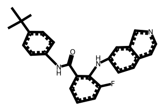 CC(C)(C)c1ccc(NC(=O)c2cccc(F)c2Nc2ccc3ccncc3c2)cc1